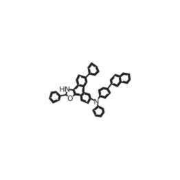 c1ccc(-c2ccc3c4c(c5ccc(N(c6ccccc6)c6ccc(-c7ccc8ccccc8c7)cc6)cc5c3c2)OC(c2ccccc2)N4)cc1